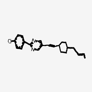 C/C=C/CC1CCC(C#Cc2cnc(-c3ccc(Cl)cc3)nc2)CC1